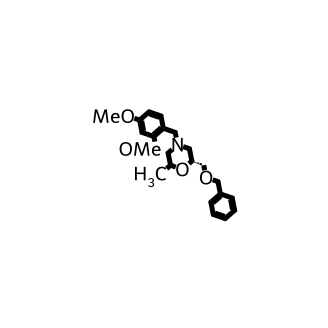 COc1ccc(CN2CC(C)O[C@@H](COCc3ccccc3)C2)c(OC)c1